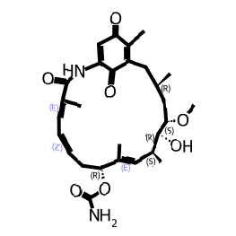 CO[C@H]1C[C@H](C)CC2=C(C)C(=O)C=C(NC(=O)/C(C)=C/C=C\C[C@@H](OC(N)=O)/C(C)=C/[C@H](C)[C@H]1O)C2=O